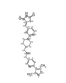 Cc1noc(C)c1-c1ccc(CNCC2CCN(c3nccc(/C=C4\SC(=O)NC4=O)n3)CC2)cn1